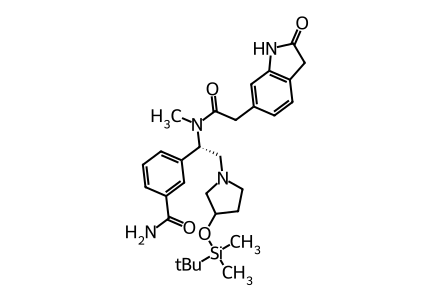 CN(C(=O)Cc1ccc2c(c1)NC(=O)C2)[C@H](CN1CCC(O[Si](C)(C)C(C)(C)C)C1)c1cccc(C(N)=O)c1